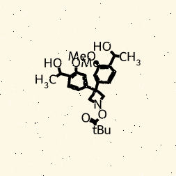 COc1cc(C2(c3ccc(C(C)O)c(OC)c3)CN(OC(=O)C(C)(C)C)C2)ccc1C(C)O